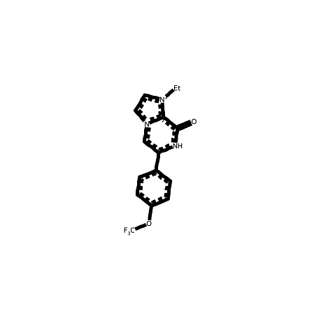 CC[n+]1ccn2cc(-c3ccc(OC(F)(F)F)cc3)[nH]c(=O)c21